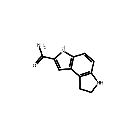 NC(=O)c1cc2c3c(ccc2[nH]1)NCC3